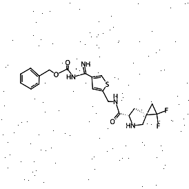 N=C(NC(=O)OCc1ccccc1)c1csc(CNC(=O)[C@@H]2C[C@]3(CN2)CC3(F)F)c1